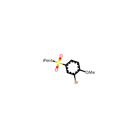 CCCC(C)S(=O)(=O)c1ccc(OC)c(Br)c1